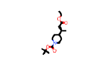 CCOC(=O)C=C(C)C1CCN(C(=O)OC(C)(C)C)CC1